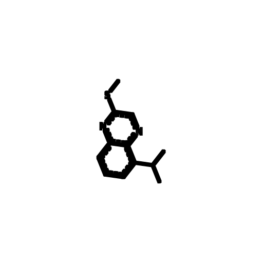 CSc1cnc2c(C(C)C)cccc2n1